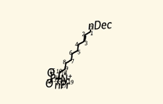 CCCCCCCCCCCC=CCCCCCCCC(CCC)(P(=O)=O)[N+](C)(C)C